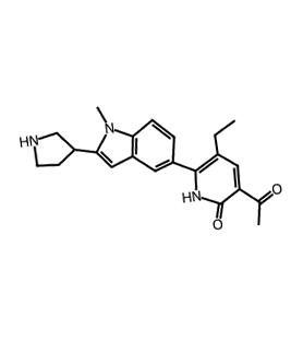 CCc1cc(C(C)=O)c(=O)[nH]c1-c1ccc2c(c1)cc(C1CCNC1)n2C